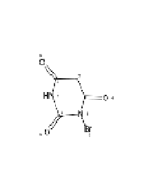 O=C1CC(=O)N(Br)C(=O)N1